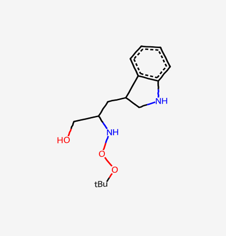 CC(C)(C)OONC(CO)CC1CNc2ccccc21